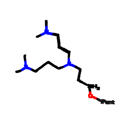 CCCC(C)O[SiH2]CCN(CCCN(C)C)CCCN(C)C